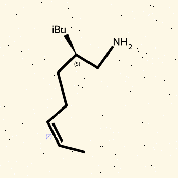 C/C=C\CC[C@H](CN)C(C)CC